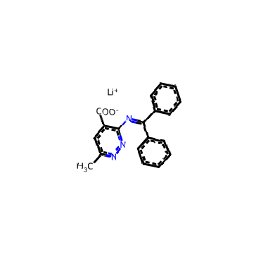 Cc1cc(C(=O)[O-])c(N=C(c2ccccc2)c2ccccc2)nn1.[Li+]